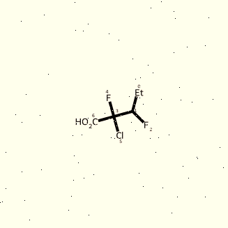 CCC(F)C(F)(Cl)C(=O)O